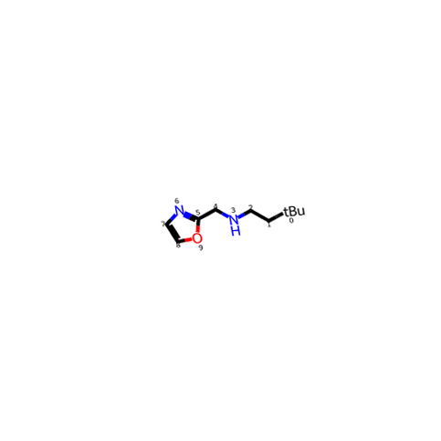 CC(C)(C)CCNCc1ncco1